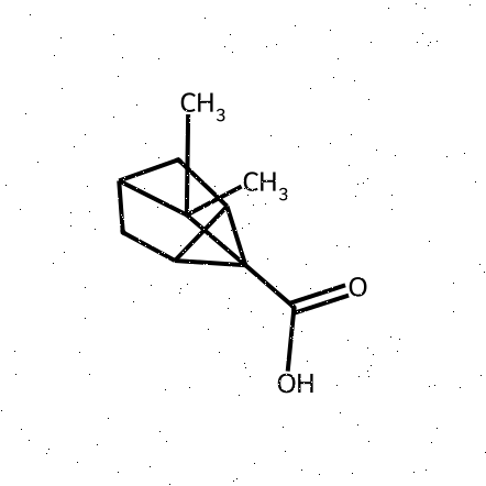 CC1(C)C2CC3C(C2)C31C(=O)O